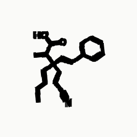 C=CC=CC(C=CC#N)(C=Cc1ccccc1)C(=C)C(=O)O